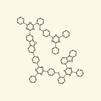 c1ccc(-c2nc(-c3ccccc3)nc(-c3ccc(Sc4ccccc4-c4nc(-c5ccccc5)nc(-c5ccc6c(c5)oc5cc(-c7ccc(-c8nc(-c9ccccc9)nc(-c9ccc(Sc%10ccccc%10-c%10nc(-c%11ccccc%11)nc(-c%11cccc%12c%11oc%11ccccc%11%12)n%10)cc9)n8)cc7)ccc56)n4)cc3)n2)cc1